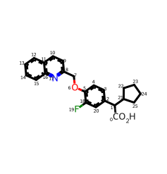 O=C(O)C(c1ccc(OCc2ccc3ccccc3n2)c(F)c1)C1CCCC1